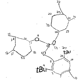 Cc1cc(C(C)(C)C)c(OB(OC2CCC(C)C(C)C2)OC2CCC(C)C(C)C2)c(C(C)(C)C)c1